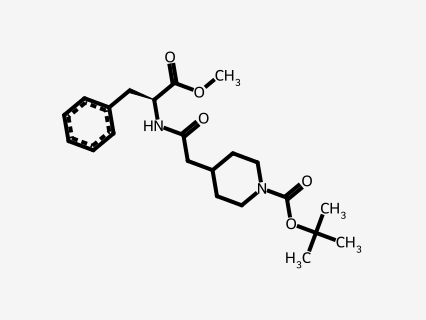 COC(=O)[C@H](Cc1ccccc1)NC(=O)CC1CCN(C(=O)OC(C)(C)C)CC1